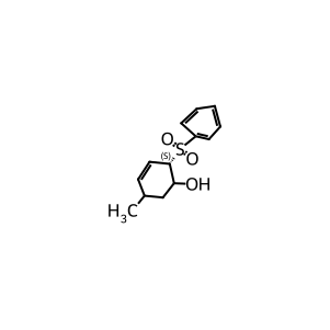 CC1C=C[C@H](S(=O)(=O)c2ccccc2)C(O)C1